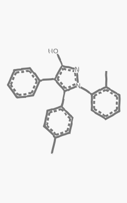 Cc1ccc(-c2c(-c3ccccc3)c(O)nn2-c2ccccc2C)cc1